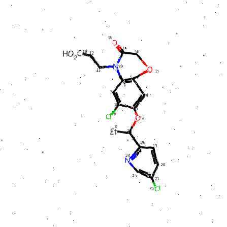 CCC(Oc1cc2c(cc1Cl)N(CCC(=O)O)C(=O)CO2)c1ccc(Cl)cn1